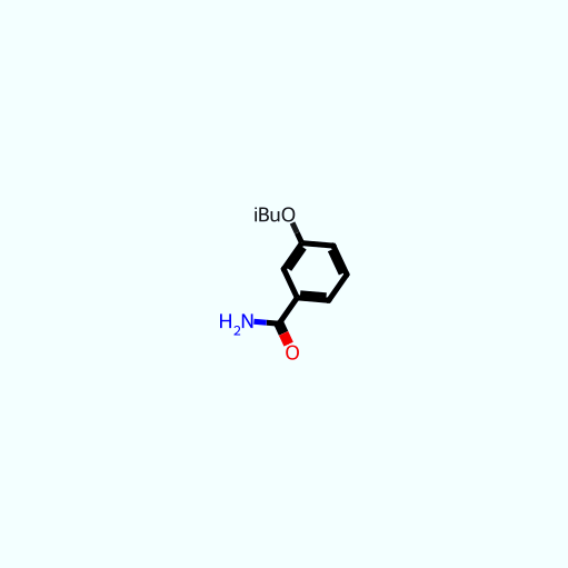 CC(C)COc1cccc(C(N)=O)c1